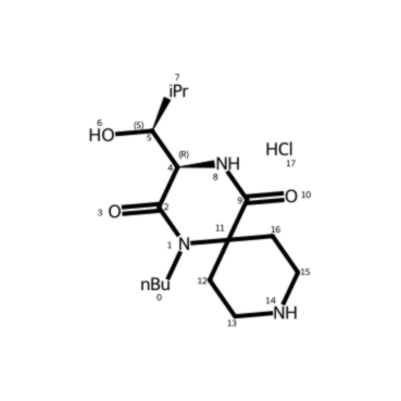 CCCCN1C(=O)[C@@H]([C@@H](O)C(C)C)NC(=O)C12CCNCC2.Cl